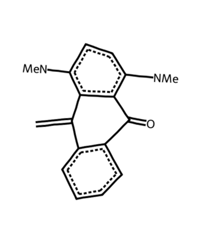 C=C1c2ccccc2C(=O)c2c(NC)ccc(NC)c21